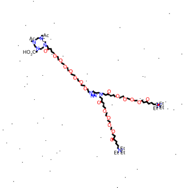 CC[N+](CC)(CC)CCCCC(=O)CCOCCOCCOCCOCCCC(=O)CCN(CCC(=O)CCCOCCOCCOCCOCCC(=O)CCCC[N+](CC)(CC)CC)Cc1cn(CCOCCOCCOCCOCCOCCOCCOCCCC(=O)CN2CCN(CC(C)=O)CCN(CC(C)=O)CCN(CC(=O)O)CC2)nn1